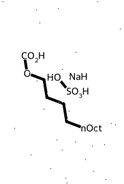 CCCCCCCCCCCCOC(=O)O.O=S(=O)(O)O.[NaH]